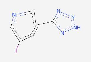 Ic1cncc(-c2nn[nH]n2)c1